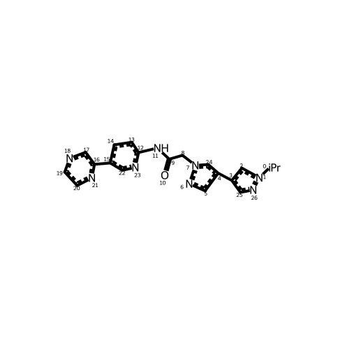 CC(C)n1cc(-c2cnn(CC(=O)Nc3ccc(-c4cnccn4)cn3)c2)cn1